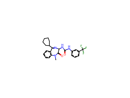 CN1C(=O)C(NC(=O)Nc2cccc(C(F)(F)F)c2)N=C(C2CCCCC2)c2ccccc21